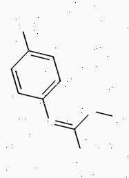 CCS/C(=N\c1ccc(Br)cc1)C(C)C